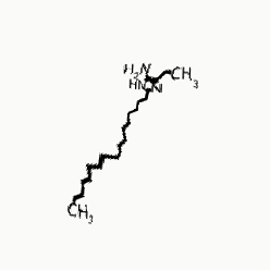 CCCCCCCCCCCCCCCCCc1nc(CC)c(N)[nH]1